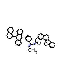 C/C=C(\C=C1/Cc2ccc3ccc4c5ccccc5oc4c3c2O1)c1cccc(-c2c3ccccc3c(-c3cccc4ccccc34)c3ccccc23)c1